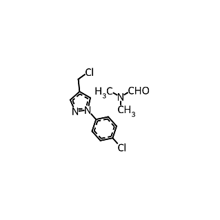 CN(C)C=O.ClCc1cnn(-c2ccc(Cl)cc2)c1